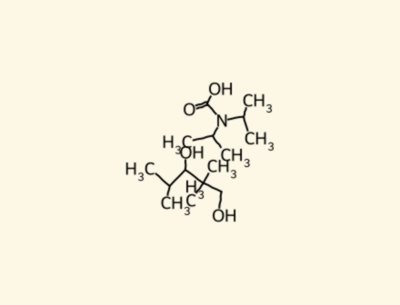 CC(C)C(O)C(C)(C)CO.CC(C)N(C(=O)O)C(C)C